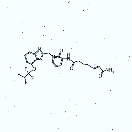 NC(=O)/C=C/CCCC(=O)Nc1cccn(Cc2nc3cccc(OC(F)(F)C(F)F)c3s2)c1=O